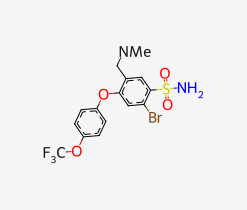 CNCc1cc(S(N)(=O)=O)c(Br)cc1Oc1ccc(OC(F)(F)F)cc1